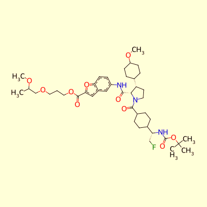 COC(C)COCCCOC(=O)c1cc2cc(NC(=O)[C@@H]3[C@H](C4CCC(OC)CC4)CCN3C(=O)C3CCC([C@@H](CF)NC(=O)OC(C)(C)C)CC3)ccc2o1